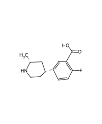 C[C@@H]1C[C@H](c2ccc(F)c(C(=O)O)c2)CCN1